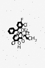 C=C[C@H](CC)N1CN([C@H](c2ccccc2)c2ccc(F)c(Cl)c2OCC)n2ccc(=O)c(O)c2C1=O